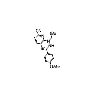 COc1ccc(CNN(CC(C)(C)C)c2nc(C#N)ncc2Br)cc1